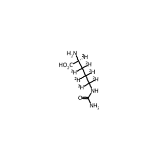 [2H]C([2H])(NC(N)=O)C([2H])([2H])C([2H])([2H])[C@]([2H])(N)C(=O)O